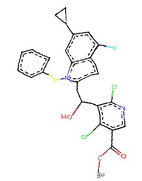 CC(C)(C)OC(=O)c1cnc(Cl)c(C(O)c2cc3c(F)cc(C4CC4)cc3n2Sc2ccccc2)c1Cl